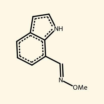 CON=Cc1cccc2cc[nH]c12